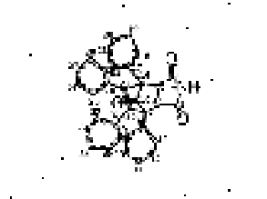 O=C1NC(=O)C2C1C1(c3ccccc3)C(=O)C2(c2ccccc2)C(c2ccccc2)=C1c1ccccc1